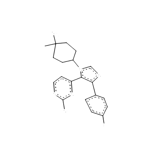 CC1(N)CCC(n2cnc(-c3ccc(F)cc3)c2-c2ccnc(N)n2)CC1